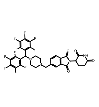 O=C1CCC(N2C(=O)c3ccc(CN4CCN(C(c5c(F)c(F)c(F)c(F)c5F)c5c(F)c(F)c(F)c(F)c5F)CC4)cc3C2=O)C(=O)N1